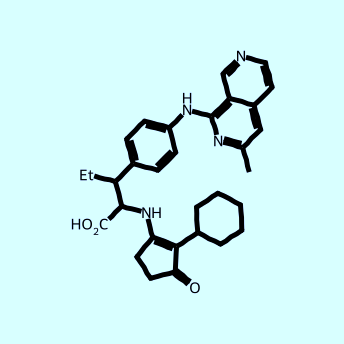 CCC(c1ccc(Nc2nc(C)cc3ccncc23)cc1)C(NC1=C(C2CCCCC2)C(=O)CC1)C(=O)O